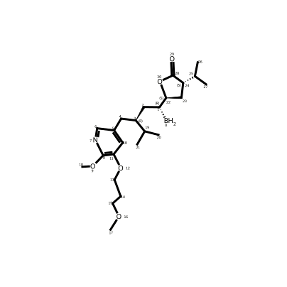 B[C@H](C[C@H](Cc1cnc(OC)c(OCCCOC)c1)C(C)C)[C@@H]1C[C@@H](C(C)C)C(=O)O1